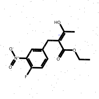 CCOC(=O)/C(Cc1ccc(F)c([N+](=O)[O-])c1)=C(\C)O